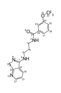 O=C(NCCCNc1nsc2ncccc12)c1cccc(OC(F)(F)F)c1